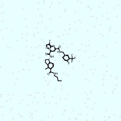 CCCCNC(=O)c1ccc2c(c1C)CC[C@@H]2NC(=O)c1cc(C(=O)NCc2ccc(F)c(C(F)(F)F)c2)nc2c(F)cnn12